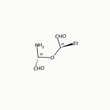 CC[C@H](C=O)O[C@@H](N)C=O